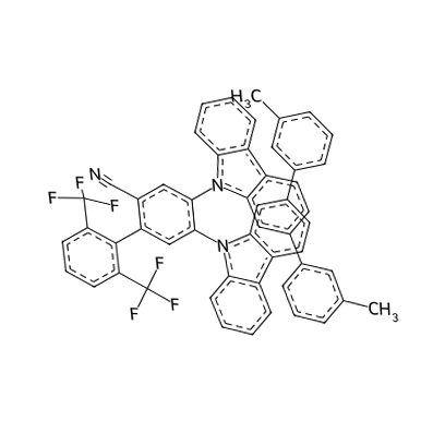 Cc1cccc(-c2ccc3c4ccccc4n(-c4cc(C#N)c(-c5c(C(F)(F)F)cccc5C(F)(F)F)cc4-n4c5ccccc5c5ccc(-c6cccc(C)c6)cc54)c3c2)c1